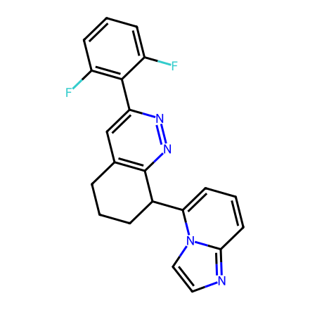 Fc1cccc(F)c1-c1cc2c(nn1)C(c1cccc3nccn13)CCC2